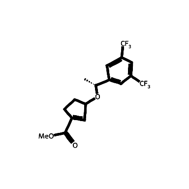 COC(=O)C1=CC(O[C@H](C)c2cc(C(F)(F)F)cc(C(F)(F)F)c2)CC1